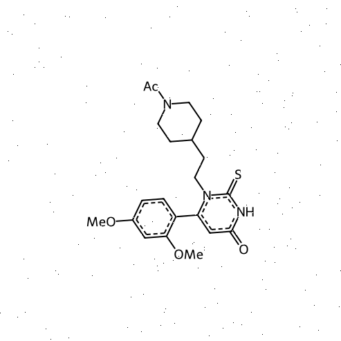 COc1ccc(-c2cc(=O)[nH]c(=S)n2CCC2CCN(C(C)=O)CC2)c(OC)c1